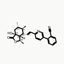 C[C@H]1[C@H](/C=C/c2ccc(-c3ccccc3C#N)cn2)[C@@H]2[C@@H](C)OC(=O)[C@]2(O)C[C@@H]1C